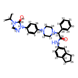 CC(C)n1cnn(-c2ccc(N3CCN(C(C(=O)Nc4ccc5c(c4)CCC5)c4ccccc4)CC3)cc2)c1=O